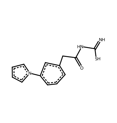 N=C(S)NC(=O)Cc1cccc(-n2cccc2)c1